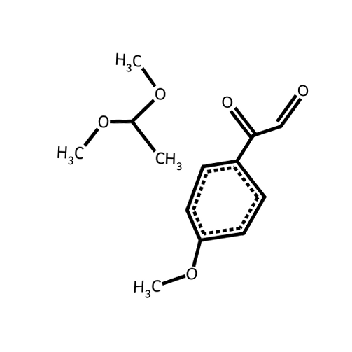 COC(C)OC.COc1ccc(C(=O)C=O)cc1